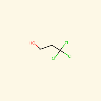 O[CH]CC(Cl)(Cl)Cl